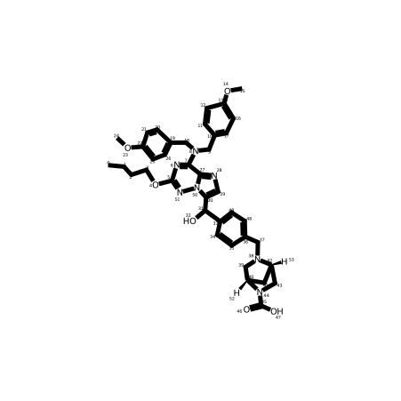 CCCCOc1nc(N(Cc2ccc(OC)cc2)Cc2ccc(OC)cc2)c2ncc(C(O)c3ccc(CN4C[C@@H]5C[C@H]4CN5C(=O)O)cc3)n2n1